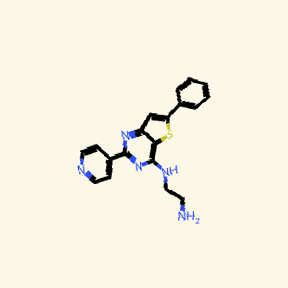 NCCNc1nc(-c2ccncc2)nc2cc(-c3ccccc3)sc12